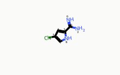 N=C(N)c1cc(Cl)c[nH]1